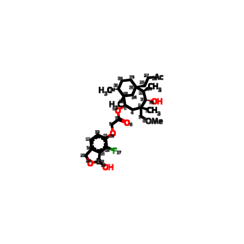 COC[C@]1(C)C[C@@H](OC(=O)COc2ccc3c(c2F)B(O)OC3)[C@@]2(C)C[C@](CCC(C)=O)(CC[C@H]2C)[C@@H](C)[C@@H]1O